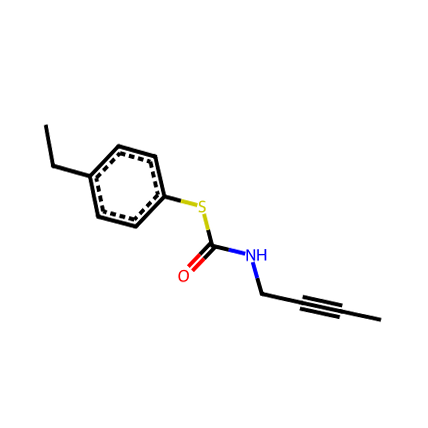 CC#CCNC(=O)Sc1ccc(CC)cc1